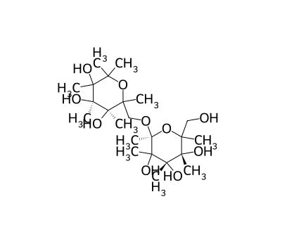 CC1(C)OC(C)(CO[C@@]2(C)OC(C)(CO)[C@](C)(O)[C@](C)(O)C2(C)O)[C@@](C)(O)[C@@](C)(O)C1(C)O